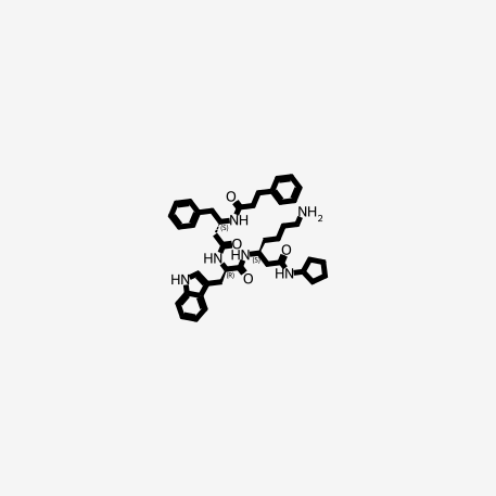 NCCCC[C@@H](CC(=O)NC1CCCC1)NC(=O)[C@@H](Cc1c[nH]c2ccccc12)NC(=O)C[C@H](Cc1ccccc1)NC(=O)CCc1ccccc1